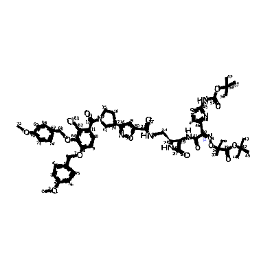 COc1ccc(COc2ccc(C(=O)N3CC[C@@H](c4cc(C(=O)NC[C@@H]5NC(=O)C5NC(=O)/C(=N\OC(C)(C)C(=O)OC(C)(C)C)c5csc(NC(=O)OC(C)(C)C)n5)on4)C3)c(Cl)c2OCc2ccc(OC)cc2)cc1